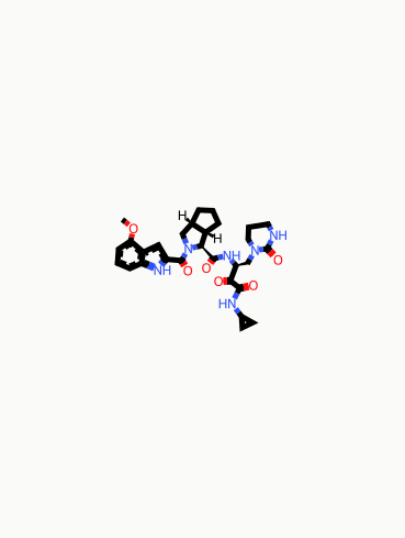 COc1cccc2[nH]c(C(=O)N3C[C@@H]4CCC[C@@H]4[C@H]3C(=O)N[C@@H](CN3CCCNC3=O)C(=O)C(=O)NC3CC3)cc12